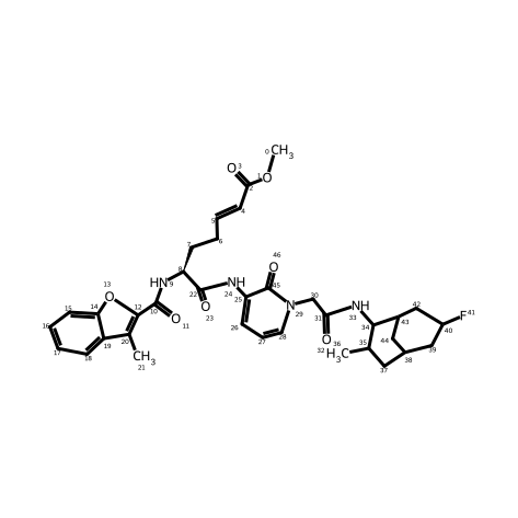 COC(=O)/C=C/CC[C@H](NC(=O)c1oc2ccccc2c1C)C(=O)Nc1cccn(CC(=O)NC2C(C)CC3CC(F)CC2C3)c1=O